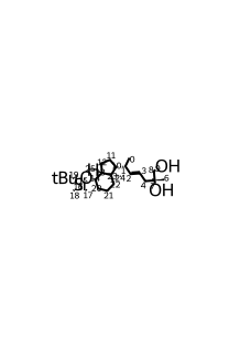 CC(/C=C/C[C@@](C)(O)CO)[C@H]1CC[C@H]2[C@@H](O[Si](C)(C)C(C)(C)C)CCC[C@]12C